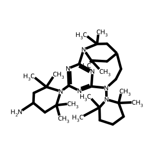 CC1(C)CC(N)CC(C)(C)N1c1nc2nc(n1)N1C(C)(C)CC(CCN2N2C(C)(C)CCCC2(C)C)CC1(C)C